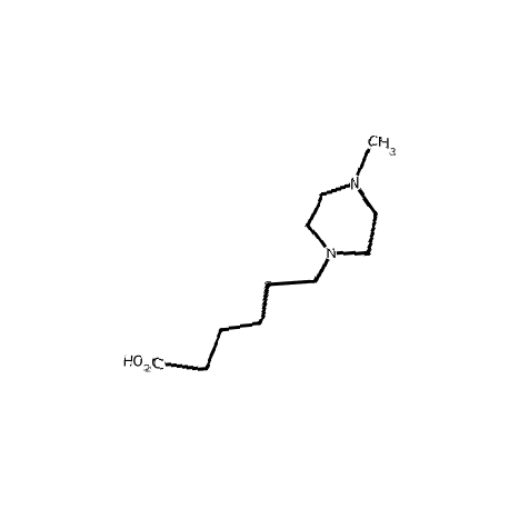 CN1CCN(CCCCCC(=O)O)CC1